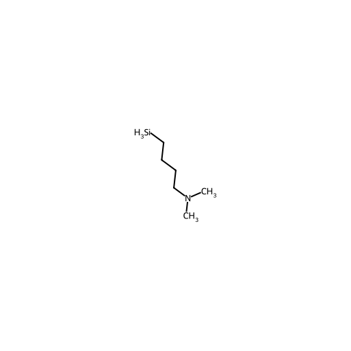 CN(C)CCCC[SiH3]